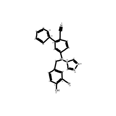 N#Cc1ccc(N(Cc2ccc(O)c(Br)c2)n2cnnc2)cc1-c1ccccc1